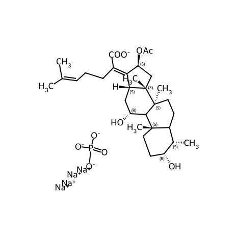 CC(=O)O[C@H]1C[C@@]2(C)[C@H](C[C@@H](O)C3[C@@]4(C)CC[C@@H](O)[C@@H](C)C4CC[C@@]32C)C1=C(CCC=C(C)C)C(=O)[O-].O=P([O-])([O-])[O-].[Na+].[Na+].[Na+].[Na+]